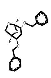 c1ccc(CO[C@@H]2C[C@@H](OCc3ccccc3)[C@H]3CO[C@@H]2O3)cc1